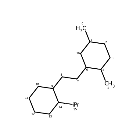 CC1CCC(C)C(CCC2CCCCC2C(C)C)C1